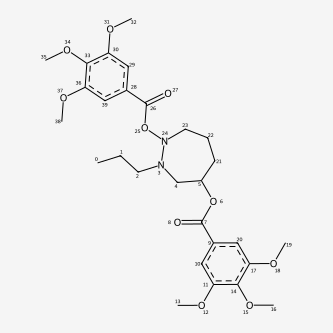 CCCN1CC(OC(=O)c2cc(OC)c(OC)c(OC)c2)CCCN1OC(=O)c1cc(OC)c(OC)c(OC)c1